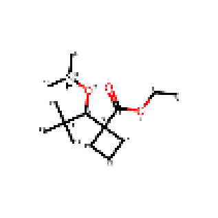 CCOC(=O)C1(C(O[SiH](C)C)C(C)(C)C)CCC1